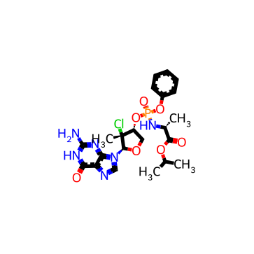 CC(C)OC(=O)[C@@H](C)NP(=O)(Oc1ccccc1)O[C@@H]1CO[C@@H](n2cnc3c(=O)[nH]c(N)nc32)[C@]1(C)Cl